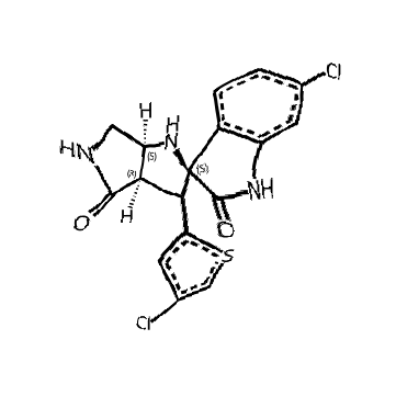 O=C1NC[C@H]2N[C@@]3(C(=O)Nc4cc(Cl)ccc43)C(c3cc(Cl)cs3)[C@@H]12